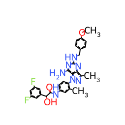 COc1ccc(CNc2nc(N)c3c(n2)c(C)nn3-c2ccc(NC(=O)C(O)c3cc(F)cc(F)c3)cc2C)cc1